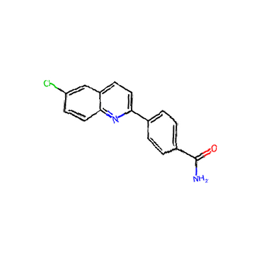 NC(=O)c1ccc(-c2ccc3cc(Cl)ccc3n2)cc1